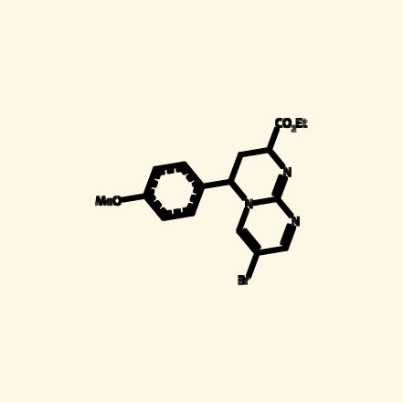 CCOC(=O)C1CC(c2ccc(OC)cc2)N2C=C(Br)C=NC2=N1